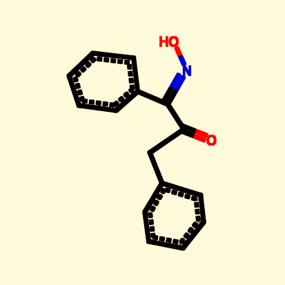 O=C(Cc1ccccc1)/C(=N/O)c1ccccc1